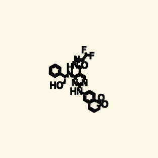 O=S1(=O)CC=Cc2cc(Nc3ncc(-c4nnc(C(F)F)o4)c(N[C@H](CO)c4ccccc4)n3)ccc21